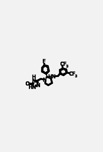 O=c1[nH]nc(CN2CCC[C@@H](NCc3cc(C(F)(F)F)cc(C(F)(F)F)c3)[C@H]2c2ccc(F)cc2)[nH]1